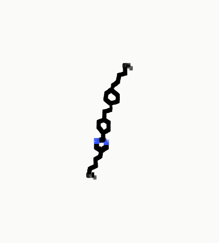 CCCCCc1cnc(C2CCC(CC[C@H]3CC[C@H](CCCCC)CC3)CC2)nc1